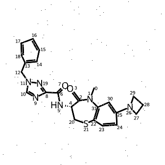 CN1C(=O)[C@@H](NC(=O)c2ncn(Cc3ccccc3)n2)CSc2ccc(N3CCC3)cc21